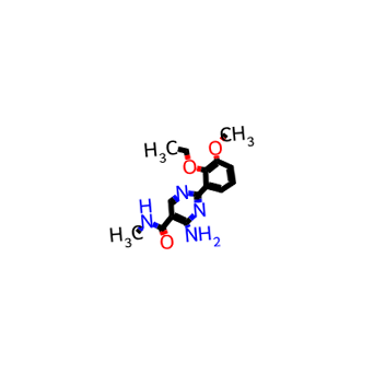 CCOc1c(OC)cccc1-c1ncc(C(=O)NC)c(N)n1